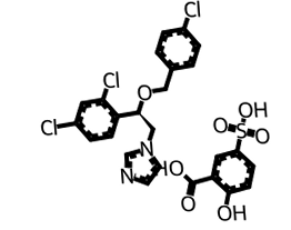 Clc1ccc(CO[C@@H](Cn2ccnc2)c2ccc(Cl)cc2Cl)cc1.O=C(O)c1cc(S(=O)(=O)O)ccc1O